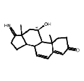 CC12C[C@@H](O)C3C(C=CC4=CC(=O)CCC43C)C1CCC2=N